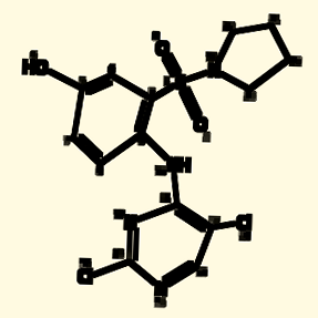 O=S(=O)(c1cc(O)ccc1Nc1nc(Cl)ncc1Cl)N1CCCC1